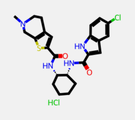 CN1CCc2cc(C(=O)N[C@H]3CCCC[C@H]3NC(=O)c3cc4cc(Cl)ccc4[nH]3)sc2C1.Cl